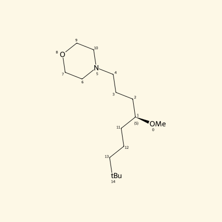 CO[C@H](CCCN1CCOCC1)CCCC(C)(C)C